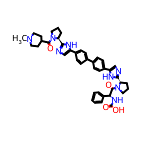 CN1CCC(C(=O)N2CCC[C@H]2c2ncc(-c3ccc(-c4ccc(-c5cnc([C@@H]6CCCN6C(=O)[C@H](NC(=O)O)c6ccccc6)[nH]5)cc4)cc3)[nH]2)CC1